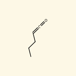 CCCC=C=O